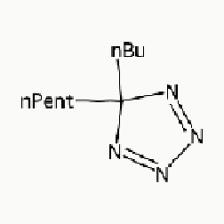 CCCCCC1(CCCC)N=NN=N1